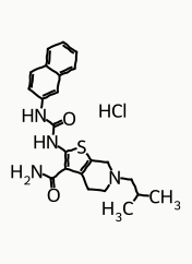 CC(C)CN1CCc2c(sc(NC(=O)Nc3ccc4ccccc4c3)c2C(N)=O)C1.Cl